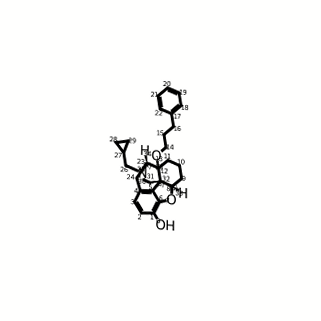 Oc1ccc2c3c1O[C@H]1CCC[C@@]4(OCCCc5ccccc5)[C@@H](C2)N(CC2CC2)CC[C@]314